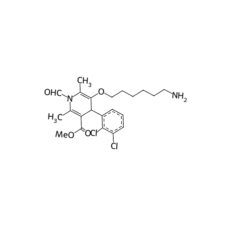 COC(=O)C1=C(C)N(C=O)C(C)=C(OCCCCCCN)C1c1cccc(Cl)c1Cl